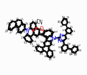 N#Cc1ccc(N(c2ccc3c(ccc4ccccc43)c2)c2ccccc2-c2ccc3oc4ccc5c(c6cc7c8ccccc8c8ccccc8c7cc6n5-c5nc(-c6cccc(-c7ccccc7)c6)cc(-c6cccc(-c7ccccc7)c6)n5)c4c3c2)cc1